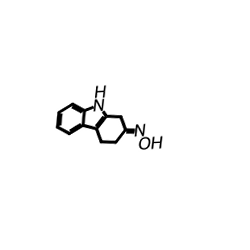 ON=C1CCc2c([nH]c3ccccc23)C1